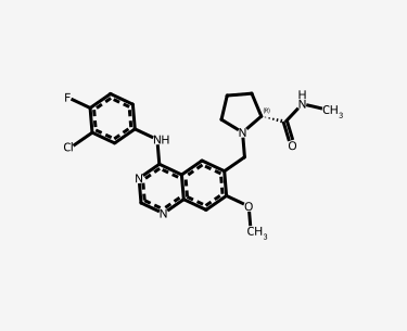 CNC(=O)[C@H]1CCCN1Cc1cc2c(Nc3ccc(F)c(Cl)c3)ncnc2cc1OC